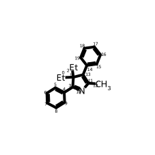 CCC1(CC)C(c2ccccc2)=NC(C)=C1c1ccccc1